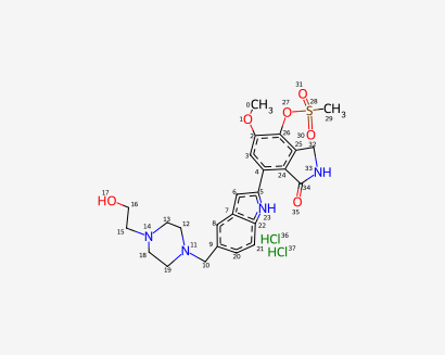 COc1cc(-c2cc3cc(CN4CCN(CCO)CC4)ccc3[nH]2)c2c(c1OS(C)(=O)=O)CNC2=O.Cl.Cl